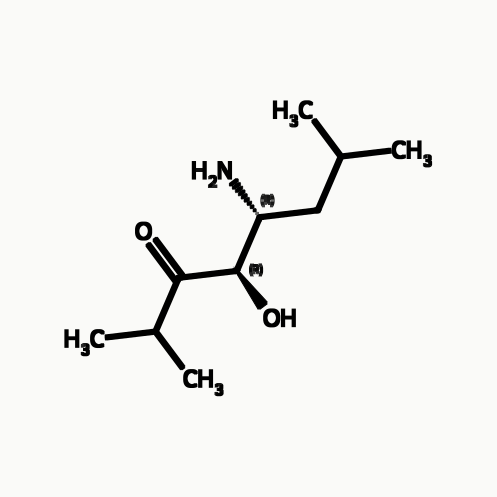 CC(C)C[C@@H](N)[C@@H](O)C(=O)C(C)C